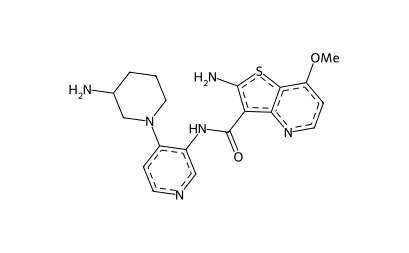 COc1ccnc2c(C(=O)Nc3cnccc3N3CCCC(N)C3)c(N)sc12